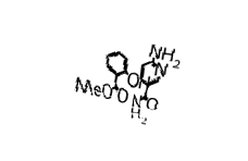 COC(=O)c1ccccc1O.NC(=O)c1ccc(N)nc1